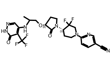 CC(CO[C@@H]1CCN([C@H]2CCN(c3ccc(C#N)cn3)CC2(F)F)C1=O)Nc1cn[nH]c(=O)c1C(F)(F)F